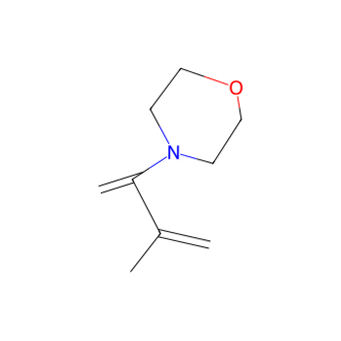 C=C(C)C(=C)N1CCOCC1